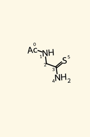 CC(=O)NCC(N)=S